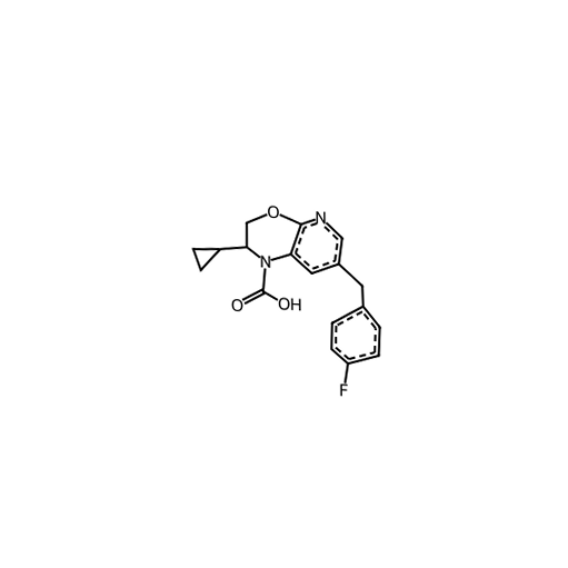 O=C(O)N1c2cc(Cc3ccc(F)cc3)cnc2OCC1C1CC1